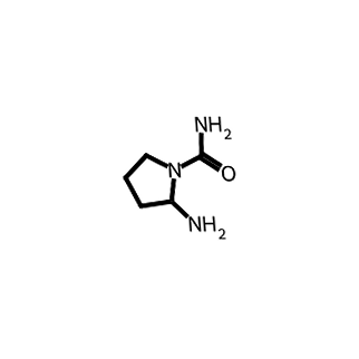 NC(=O)N1CCCC1N